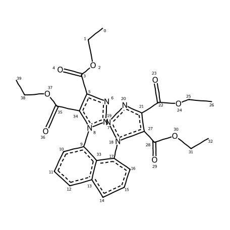 CCOC(=O)c1nnn(-c2cccc3cccc(-n4nnc(C(=O)OCC)c4C(=O)OCC)c23)c1C(=O)OCC